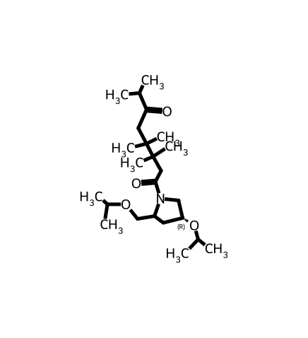 CC(C)OCC1C[C@@H](OC(C)C)CN1C(=O)CC(C)(C)C(C)(C)CC(=O)C(C)C